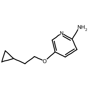 Nc1ccc(OCCC2CC2)cn1